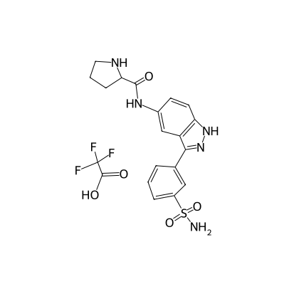 NS(=O)(=O)c1cccc(-c2n[nH]c3ccc(NC(=O)C4CCCN4)cc23)c1.O=C(O)C(F)(F)F